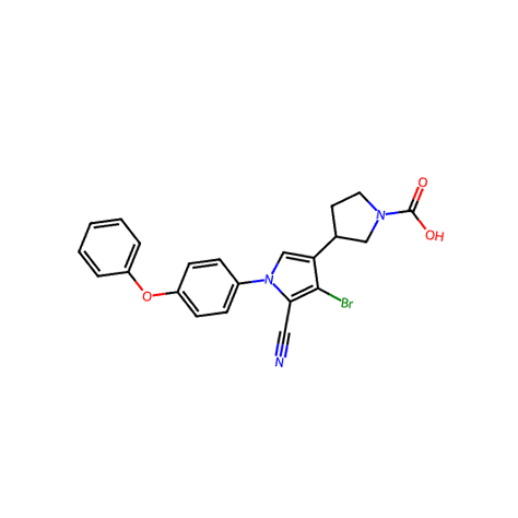 N#Cc1c(Br)c(C2CCN(C(=O)O)C2)cn1-c1ccc(Oc2ccccc2)cc1